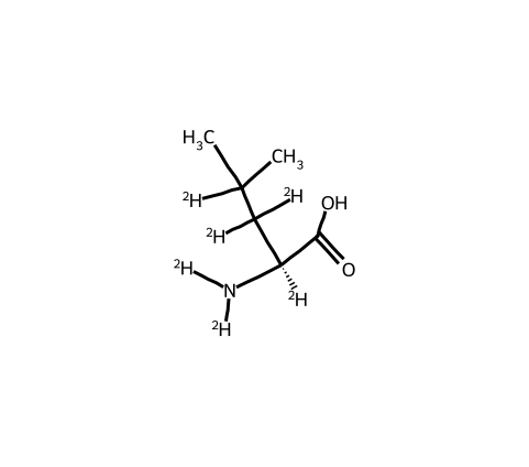 [2H]N([2H])[C@]([2H])(C(=O)O)C([2H])([2H])C([2H])(C)C